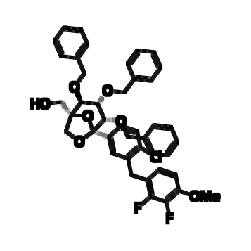 COc1ccc(Cc2cc([C@]34OC[C@](CO)(O3)[C@@H](OCc3ccccc3)[C@H](OCc3ccccc3)[C@@H]4OCc3ccccc3)ccc2Cl)c(F)c1F